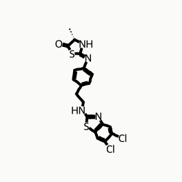 C[C@@H]1N/C(=N/c2ccc(CCNc3nc4cc(Cl)c(Cl)cc4s3)cc2)SC1=O